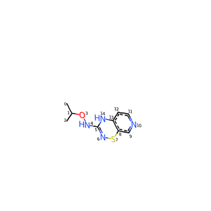 CC(C)ONC1=NSc2cnccc2N1